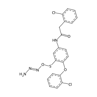 NN=NOSc1cc(NC(=O)Cc2ccccc2Cl)ccc1Oc1ccccc1Cl